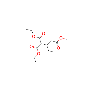 CCOC(=O)C(C(=O)OCC)C(CC)CC(=O)OC